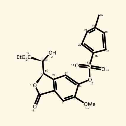 CCOC(=O)[C@@H](O)[C@@H]1OC(=O)c2cc(OC)c(OS(=O)(=O)c3ccc(C)cc3)cc21